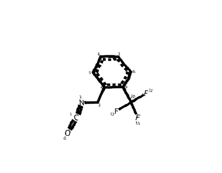 O=C=NCc1ccccc1C(F)(F)F